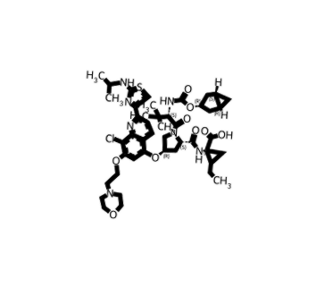 CCC1C[C@]1(NC(=O)[C@@H]1C[C@@H](Oc2cc(OCCN3CCOCC3)c(Cl)c3nc(-c4csc(NC(C)C)n4)ccc23)CN1C(=O)[C@@H](NC(=O)O[C@@H]1C[C@@H]2C[C@@H]2C1)C(C)(C)C)C(=O)O